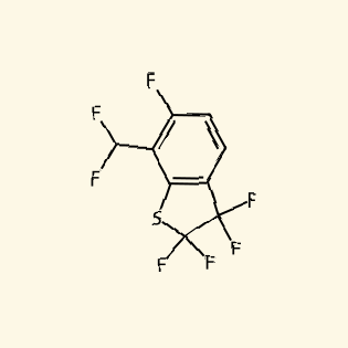 Fc1ccc2c(c1C(F)F)SC(F)(F)C2(F)F